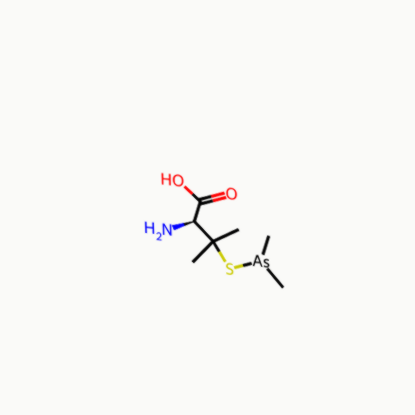 C[As](C)SC(C)(C)[C@@H](N)C(=O)O